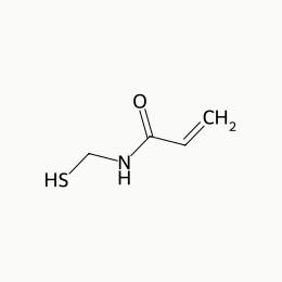 C=CC(=O)NCS